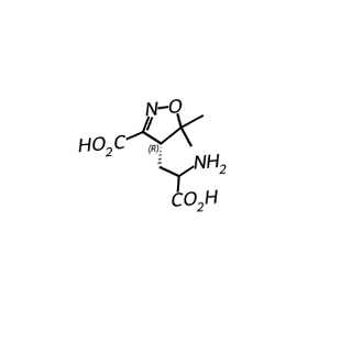 CC1(C)ON=C(C(=O)O)[C@H]1CC(N)C(=O)O